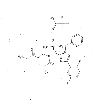 CC(C)(C)[C@H](c1nc(-c2cc(F)ccc2F)cn1Cc1ccccc1)N(CC[C@H](N)CN)C(=O)CO.O=C(O)C(F)(F)F